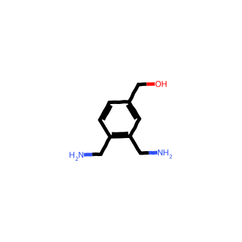 NCc1ccc(CO)cc1CN